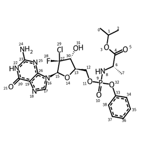 CC(C)OC(=O)[C@H](C)NP(=O)(OC[C@H]1O[C@@H](n2cnc3c(=O)[nH]c(N)nc32)[C@](F)(Cl)[C@@H]1O)Oc1ccccc1